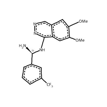 COc1cc2cnnc(N[C@H](N)c3cccc(C(F)(F)F)c3)c2cc1OC